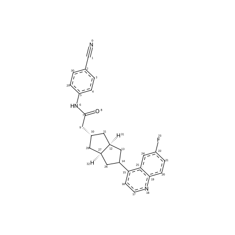 N#Cc1ccc(NC(=O)C[C@@H]2C[C@H]3CC(c4ccnc5ccc(F)cc45)C[C@H]3C2)cc1